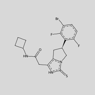 O=C(Cc1[nH]c(=S)n2c1C[C@@H](c1c(F)ccc(Br)c1F)C2)NC1CCC1